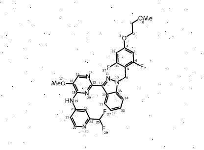 COCCOc1cc(F)c(Cn2nc(-c3ncc(OC)c(Nc4ccnc(C(F)F)c4)n3)c3ccccc32)c(F)c1